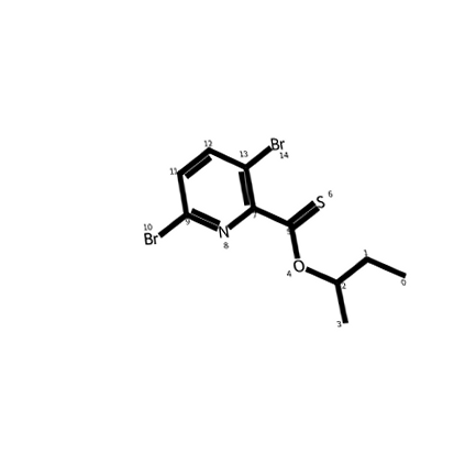 CCC(C)OC(=S)c1nc(Br)ccc1Br